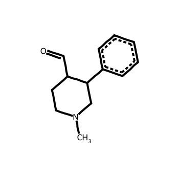 CN1CCC(C=O)C(c2ccccc2)C1